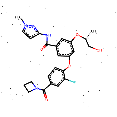 C[C@H](CO)Oc1cc(Oc2ccc(C(=O)N3CCC3)cc2F)cc(C(=O)Nc2ccn(C)n2)c1